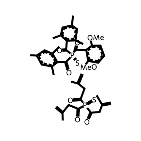 C=C(C)CC(=O)P(=S)(C(=O)CC(=C)C)C(=O)CC(=C)C.COc1cccc(OC)c1C(=O)P(=S)(C(=O)c1c(C)cc(C)cc1C)C(=O)c1c(C)cc(C)cc1C